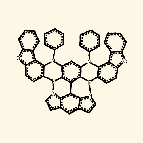 c1ccc(N2c3cc4c5c6c3B(c3ccc7oc8ccccc8c7c32)n2ccc3cc7ccn(c7c-6c32)B5c2ccc3oc5ccccc5c3c2N4c2ccccc2)cc1